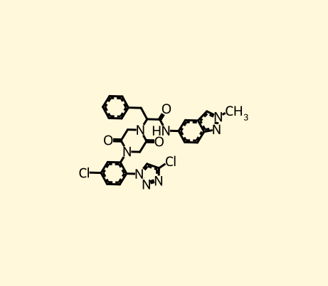 Cn1cc2cc(NC(=O)C(Cc3ccccc3)N3CC(=O)N(c4cc(Cl)ccc4-n4cc(Cl)nn4)CC3=O)ccc2n1